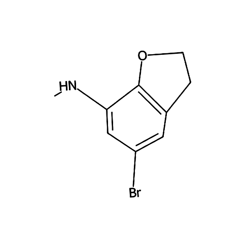 CNc1cc(Br)cc2c1OCC2